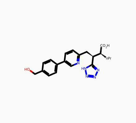 CCC[C@H](C(=O)O)[C@H](Cc1ccc(-c2ccc(CO)cc2)cn1)c1nnn[nH]1